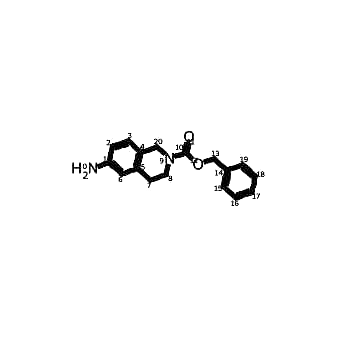 Nc1ccc2c(c1)CCN(C(=O)OCc1ccccc1)C2